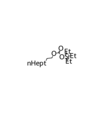 CCCCCCCCCOC(=O)O[Si](CC)(CC)CC